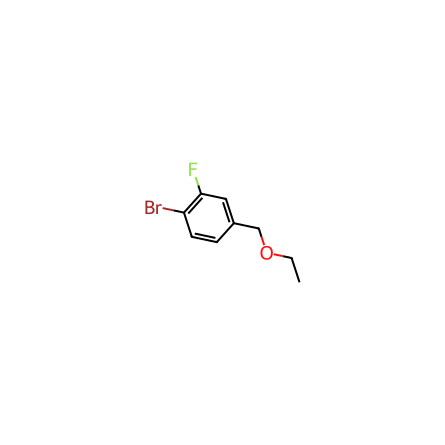 CCOCc1ccc(Br)c(F)c1